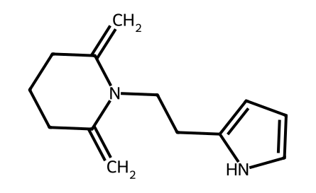 C=C1CCCC(=C)N1CCc1ccc[nH]1